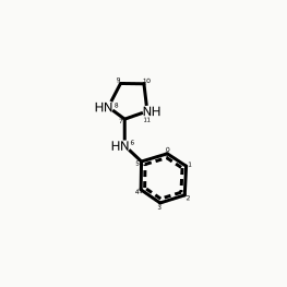 [c]1ccc[c]c1NC1NCCN1